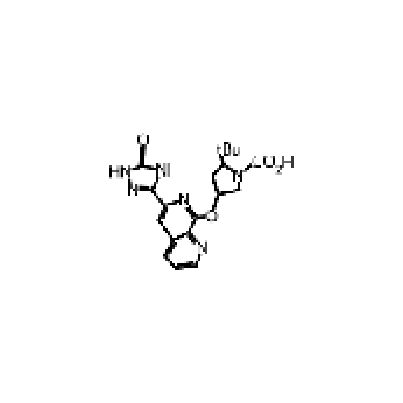 CC(C)(C)C1CC(Oc2nc(-c3n[nH]c(=O)[nH]3)cc3cccnc23)CN1C(=O)O